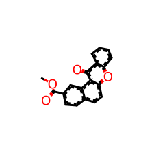 COC(=O)c1ccc2ccc3oc4ccccc4c(=O)c3c2c1